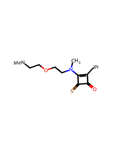 CNCCOCCN(C)c1c(C(C)C)c(=O)c1=S